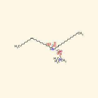 CCCCCCCC/C=C\CCCCCCCCCC(O)CC(=O)N[C@@H](COP(=O)([O-])OCC[N+](C)(C)C)[C@H](O)/C=C/CCCCCCCCCCCCC